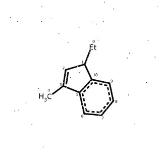 CCC1C=C(C)c2ccccc21